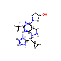 CC(C)(C)c1nc(N2CCC(O)C2)c2cnn(C(c3nnn[nH]3)C3CC3)c2n1